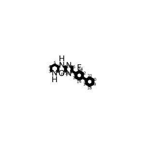 O=C1NCCC[C@H]1Nc1cnc(-c2ccc(-c3ccccc3)cc2F)cn1